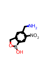 NCc1cc2c(cc1[N+](=O)[O-])B(O)OC2